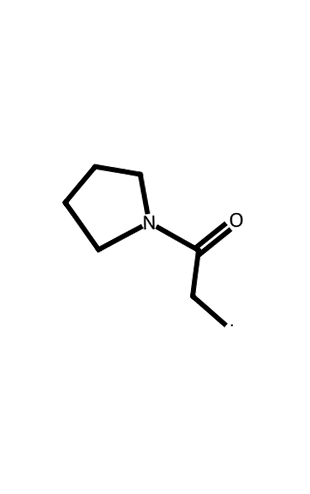 [CH2]CC(=O)N1CCCC1